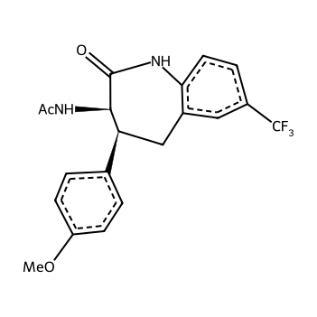 COc1ccc([C@@H]2Cc3cc(C(F)(F)F)ccc3NC(=O)[C@@H]2NC(C)=O)cc1